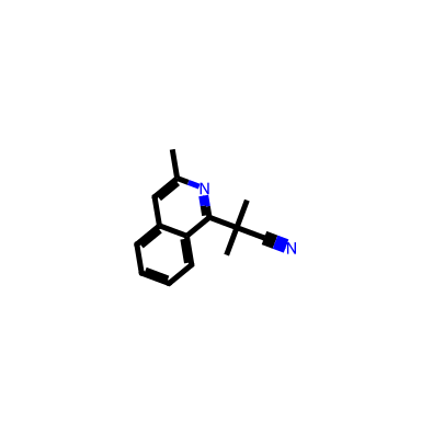 Cc1cc2ccccc2c(C(C)(C)C#N)n1